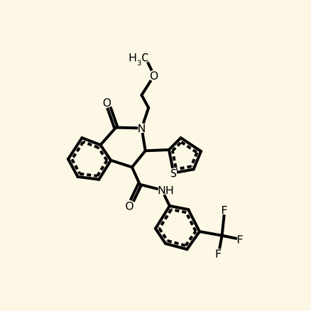 COCCN1C(=O)c2ccccc2C(C(=O)Nc2cccc(C(F)(F)F)c2)C1c1cccs1